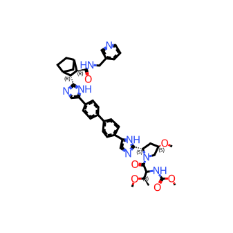 COC(=O)NC(C(=O)N1C[C@@H](OC)C[C@H]1c1ncc(-c2ccc(-c3ccc(-c4cnc([C@@H]5C6CCC(C6)[C@H]5C(=O)NCc5cccnc5)[nH]4)cc3)cc2)[nH]1)[C@@H](C)OC